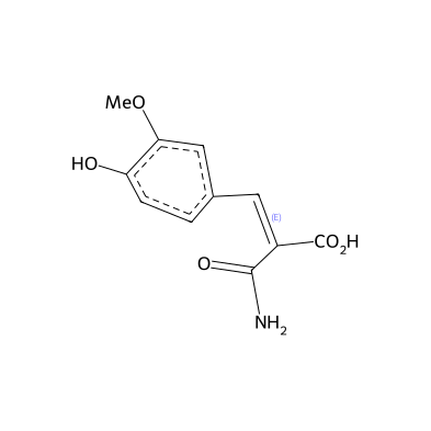 COc1cc(/C=C(\C(N)=O)C(=O)O)ccc1O